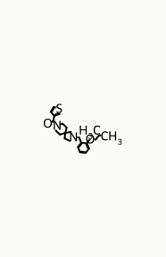 CC(C)COc1ccccc1CN1CCC2(CCN(C(=O)c3ccsc3)CC2)C1